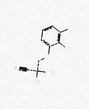 CC(N)(C#N)COc1cccc(Cl)c1Cl